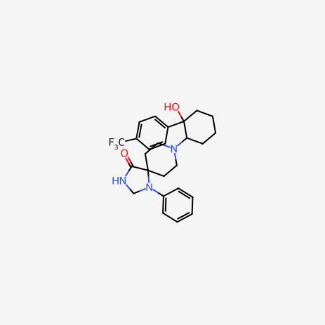 O=C1NCN(c2ccccc2)C12CCN(C1CCCCC1(O)c1ccc(C(F)(F)F)cc1)CC2